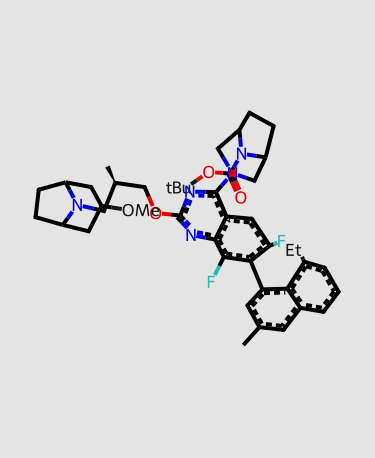 CCc1cccc2cc(C)cc(-c3c(F)cc4c(N5CC6CCC(C5)N6C(=O)OC(C)(C)C)nc(OC[C@H](C)CN5C6CCC5CC(OC)C6)nc4c3F)c12